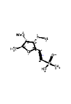 CCO[C@H]1[C@@H](OC)[C@H](C)O[C@@H]1/C=C/P(C)(=O)O